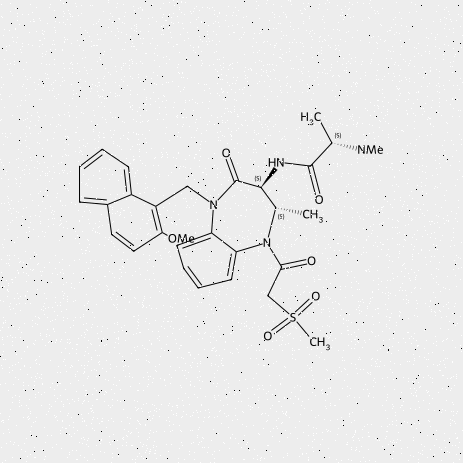 CN[C@@H](C)C(=O)N[C@@H]1C(=O)N(Cc2c(OC)ccc3ccccc23)c2ccccc2N(C(=O)CS(C)(=O)=O)[C@H]1C